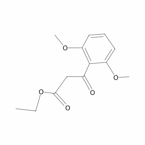 CCOC(=O)CC(=O)c1c(OC)cccc1OC